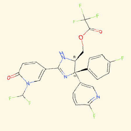 O=C(OC[C@@H]1NC(c2ccc(=O)n(C(F)F)c2)=N[C@@]1(c1ccc(F)cc1)c1ccc(F)nc1)C(F)(F)F